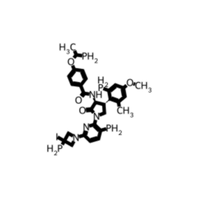 COc1cc(C)c([C@@H]2CN(c3nc(N4CC(P)(I)C4)ccc3P)C(=O)[C@H]2NC(=O)c2ccc(OC(C)P)cc2)c(P)c1